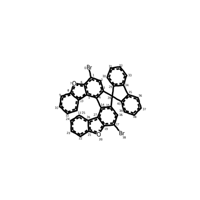 Brc1cc2c(c3c1oc1ccccc13)-c1c(cc(Br)c3oc4ccccc4c13)C21c2ccccc2-c2ccccc21